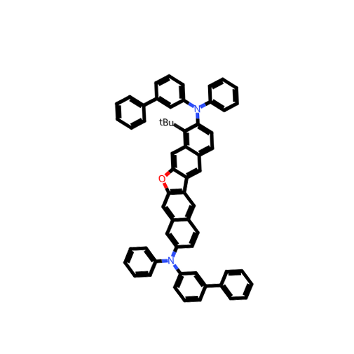 CC(C)(C)c1c(N(c2ccccc2)c2cccc(-c3ccccc3)c2)ccc2cc3c(cc12)oc1cc2cc(N(c4ccccc4)c4cccc(-c5ccccc5)c4)ccc2cc13